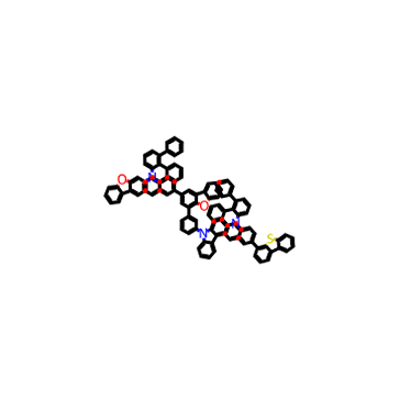 c1ccc(-c2ccccc2-c2c(-c3ccccc3)cccc2N(c2ccc(-c3cc(-c4cccc(-n5c6ccccc6c6cc(N(c7ccc(-c8cccc9c8sc8ccccc89)cc7)c7cccc(-c8ccccc8)c7-c7ccccc7-c7ccccc7)ccc65)c4)c4oc5ccccc5c4c3)cc2)c2ccc3c(c2)oc2ccccc23)cc1